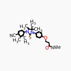 C=C1N(c2ccc(C#N)c(C)c2C)C(=S)N(c2ccc(OCCC(=O)NC)cc2)C1(C)C